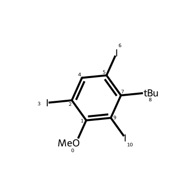 COc1c(I)cc(I)c(C(C)(C)C)c1I